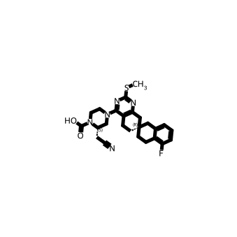 CSc1nc2c(c(N3CCN(C(=O)O)[C@@H](CC#N)C3)n1)CC[C@]1(CCc3c(F)cccc3C1)C2